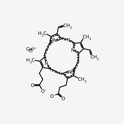 C=CC1=C(C)c2nc1cc1[nH]c(cc3nc(cc4[nH]c(n2)c(C=C)c4C)C(C)=C3CCC(=O)[O-])c(CCC(=O)[O-])c1C.[Cl-].[Ga+3]